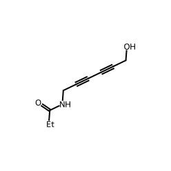 CCC(=O)NCC#CC#CCO